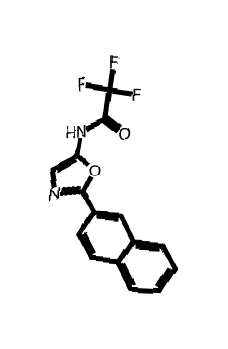 O=C(Nc1cnc(-c2ccc3ccccc3c2)o1)C(F)(F)F